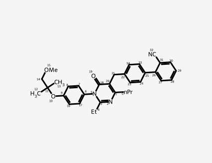 CCCc1nc(CC)n(-c2ccc(OC(C)(C)COC)cc2)c(=O)c1Cc1ccc(-c2ccccc2C#N)cc1